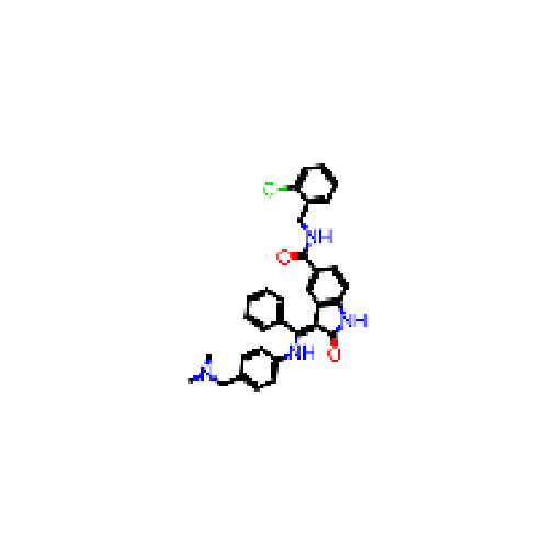 CN(C)Cc1ccc(N/C(=C2\C(=O)Nc3ccc(C(=O)NCc4ccccc4Cl)cc32)c2ccccc2)cc1